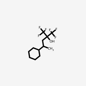 CC(CC(O)(C(F)(F)F)C(F)(F)F)C1CCCCC1